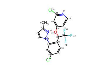 Cc1ccn(-c2cc(Cl)ccc2C(Oc2ccnc(Cl)c2)C(F)(F)F)n1